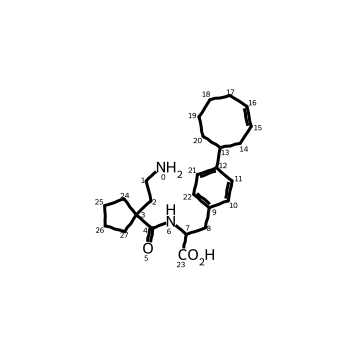 NCCC1(C(=O)NC(Cc2ccc(C3C/C=C\CCCC3)cc2)C(=O)O)CCCC1